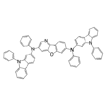 c1ccc(N(c2ccc3c(c2)oc2cc(N(c4ccccc4)c4ccc5c6ccccc6n(-c6ccccc6)c5c4)cnc23)c2ccc3c4ccccc4n(-c4ccccc4)c3c2)cc1